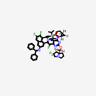 [2H]C([2H])(Oc1nc(N2CCC[C@H]3[C@H](F)[C@H]32)c2cnc(-c3cc(N=C(c4ccccc4)c4ccccc4)cc4cc(F)c(F)c(C#C[Si](C(C)C)(C(C)C)C(C)C)c34)c(F)c2n1)[C@@]12CCCN1C[C@H](F)C2